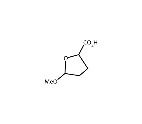 COC1CCC(C(=O)O)O1